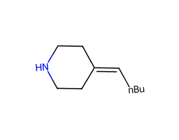 CCCCC=C1CCNCC1